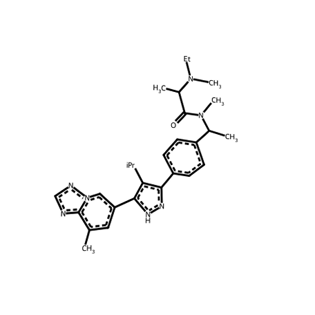 CCN(C)C(C)C(=O)N(C)C(C)c1ccc(-c2n[nH]c(-c3cc(C)c4ncnn4c3)c2C(C)C)cc1